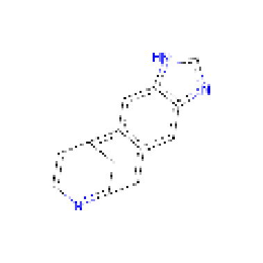 C1=CC2=c3cc4[nH]cnc4cc3=CC(=N1)C2